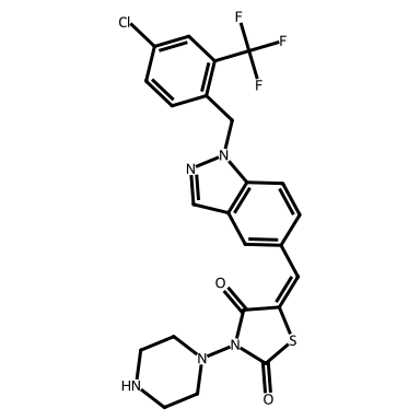 O=C1SC(=Cc2ccc3c(cnn3Cc3ccc(Cl)cc3C(F)(F)F)c2)C(=O)N1N1CCNCC1